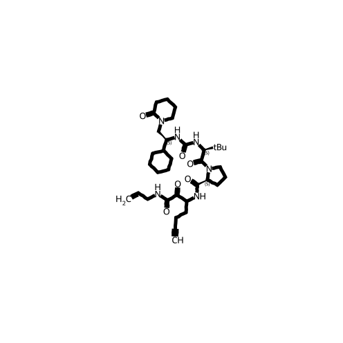 C#CCCC(NC(=O)[C@@H]1CCCN1C(=O)[C@@H](NC(=O)N[C@H](CN1CCCCC1=O)C1CCCCC1)C(C)(C)C)C(=O)C(=O)NCC=C